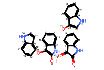 O=C1Nc2ccccc2C1=O.Oc1[nH]c2ccccc2c1O.Oc1c[nH]c2ccccc12.c1ccc2[nH]ccc2c1